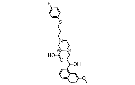 COc1ccc2nccc(C(O)CC[C@@H]3CCN(CCCSc4ccc(F)cc4)C[C@@H]3C(=O)O)c2c1